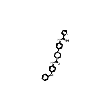 N=C(Nc1ccc(N2CCN(C(=O)Nc3ccc(Nc4ccccc4)cc3)CC2)cc1)c1cccs1